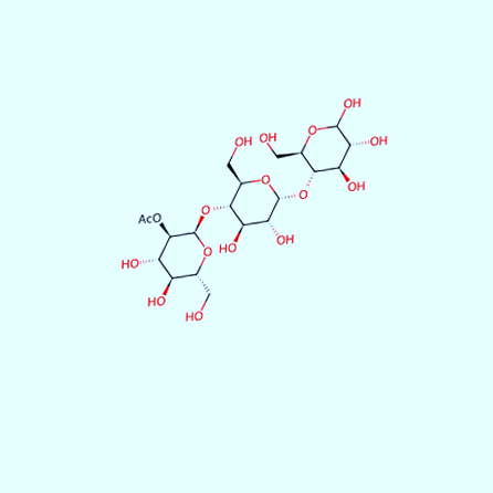 CC(=O)O[C@H]1[C@@H](O[C@H]2[C@H](O)[C@@H](O)[C@@H](O[C@H]3[C@H](O)[C@@H](O)C(O)O[C@@H]3CO)O[C@@H]2CO)O[C@H](CO)[C@@H](O)[C@@H]1O